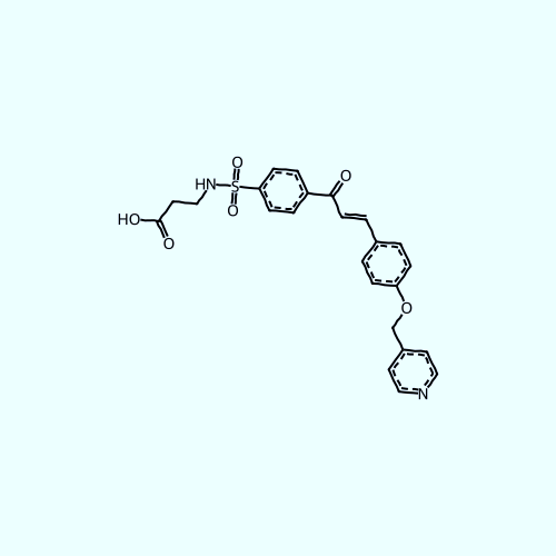 O=C(O)CCNS(=O)(=O)c1ccc(C(=O)/C=C/c2ccc(OCc3ccncc3)cc2)cc1